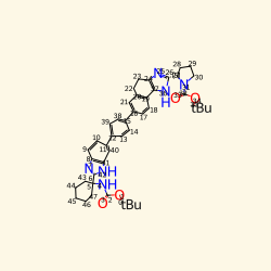 CC(C)(C)OC(=O)NC1(c2nc3ccc(-c4ccc(-c5ccc6c(c5)CCc5nc([C@@H]7CCCN7C(=O)OC(C)(C)C)[nH]c5-6)cc4)cc3[nH]2)CCCCC1